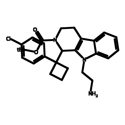 CC(C)(C)OC(=O)N1CCc2c(n(CCN)c3ccccc23)C1C1(c2ccc(Cl)cc2)CCC1